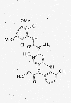 C=CC(=O)Nc1cccc(C)c1NC1=CC(N(C)C(=O)Nc2c(Cl)c(OC)cc(OC)c2Cl)N(C)C=N1